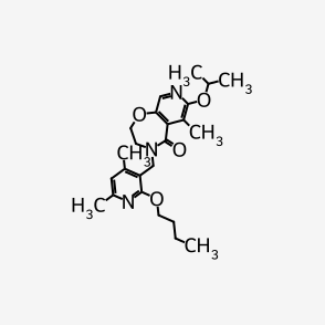 CCCCOc1nc(C)cc(C)c1CN1CCOc2cnc(OC(C)C)c(C)c2C1=O